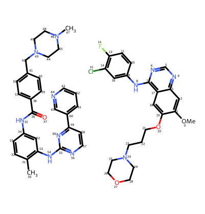 COc1cc2ncnc(Nc3ccc(F)c(Cl)c3)c2cc1OCCCN1CCOCC1.Cc1ccc(NC(=O)c2ccc(CN3CCN(C)CC3)cc2)cc1Nc1nccc(-c2cccnc2)n1